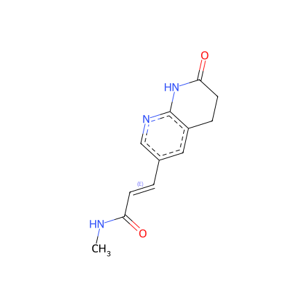 CNC(=O)/C=C/c1cnc2c(c1)CCC(=O)N2